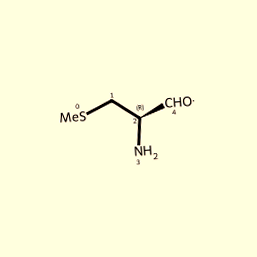 CSC[C@H](N)[C]=O